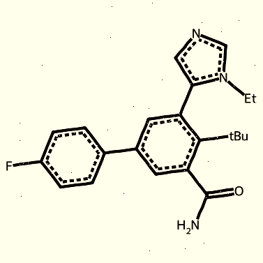 CCn1cncc1-c1cc(-c2ccc(F)cc2)cc(C(N)=O)c1C(C)(C)C